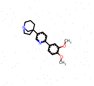 COc1ccc(-c2ccc(C34CCCN(CC3)C4)cn2)cc1OC